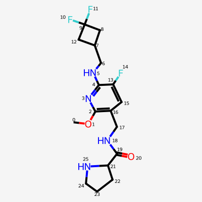 COc1nc(NCC2CC(F)(F)C2)c(F)cc1CNC(=O)C1CCCN1